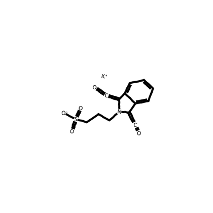 O=C=c1c2ccccc2c(=C=O)n1CCCS(=O)(=O)[O-].[K+]